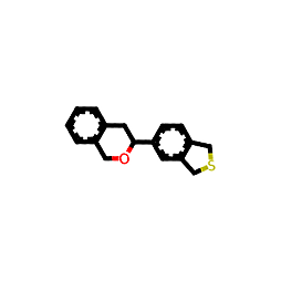 c1ccc2c(c1)COC(c1ccc3c(c1)CSC3)C2